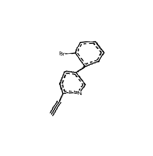 C#Cc1ccc(-c2ccccc2Br)cn1